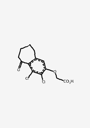 O=C(O)COc1cc2c(c(Cl)c1Cl)C(=O)CCCC2